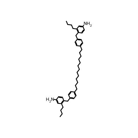 CCCCc1cc(N)ccc1Cc1ccc(CCCCCCCCCCCCCc2ccc(Cc3ccc(N)cc3CCCC)cc2)cc1